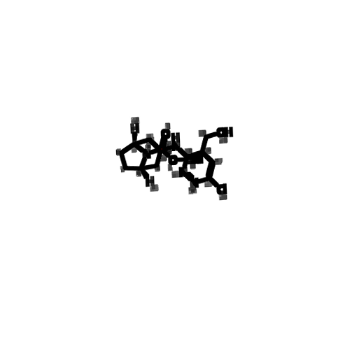 CC(C)(C)OC(=O)N1[C@@H]2CC[C@H]1CC(Nc1nnc(Cl)cc1CO)C2